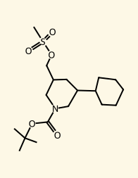 CC(C)(C)OC(=O)N1CC(COS(C)(=O)=O)CC(C2CCCCC2)C1